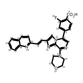 O=C(O)c1ccc(-c2cnc(N3CCOCC3)c3nc(/C=C/c4ccc5ccccc5n4)cn23)cc1F